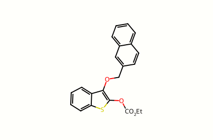 CCOC(=O)Oc1sc2ccccc2c1OCc1ccc2ccccc2c1